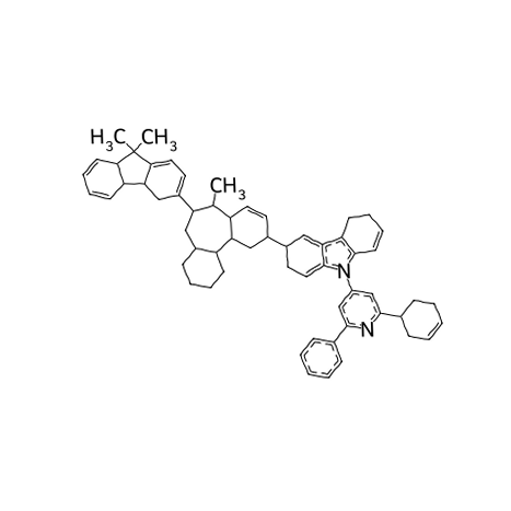 CC1C(C2=CC=C3C(C2)C2C=CC=CC2C3(C)C)CC2CCCCC2C2CC(C3C=c4c5c(n(-c6cc(-c7ccccc7)nc(C7CC=CCC7)c6)c4=CC3)C=CCC5)C=CC12